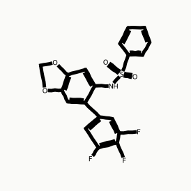 O=S(=O)(Nc1cc2c(cc1-c1cc(F)c(F)c(F)c1)OCO2)c1ccccc1